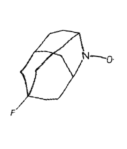 [O]N1C2CC3CC1CC(F)(C3)C2